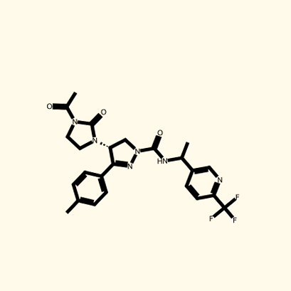 CC(=O)N1CCN([C@@H]2CN(C(=O)NC(C)c3ccc(C(F)(F)F)nc3)N=C2c2ccc(C)cc2)C1=O